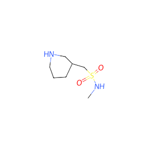 CNS(=O)(=O)CC1CCCNC1